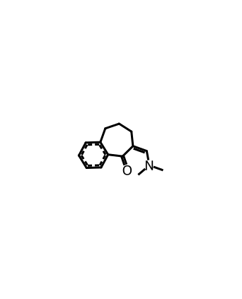 CN(C)C=C1CCCc2ccccc2C1=O